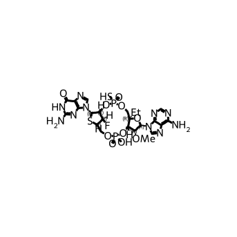 CC[C@@]12COP(=O)(S)O[C@@H]3[C@@H](F)[C@@H](COP(=O)(O)O[C@H]1[C@@H](OC)[C@H](n1cnc4c(N)ncnc41)O2)S[C@H]3n1cnc2c(=O)[nH]c(N)nc21